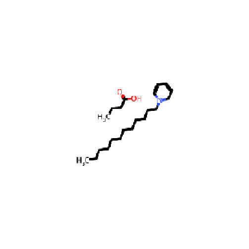 CCCC(=O)O.CCCCCCCCCCCCN1C=CC=CC1